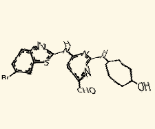 O=Cc1cc(Nc2nc3ccc(Br)cc3s2)nc(NC2CCC(O)CC2)n1